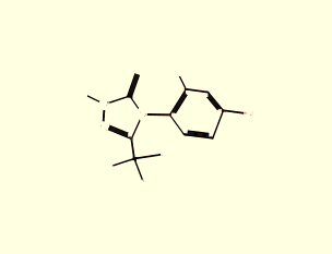 Cn1nc(C(F)(F)F)n(-c2ccc(N)cc2Cl)c1=S